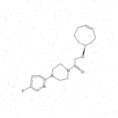 O=C(CO[C@@H]1CC/C=C\CCC1)N1CCN(c2ccc(F)cn2)CC1